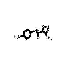 Cc1nnsc1C(=O)Nc1ccc(N)cc1